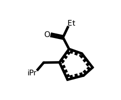 CCC(=O)c1ccccc1CC(C)C